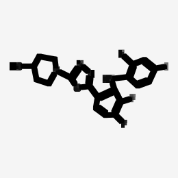 OC1CCN(c2nnc(-c3ccc(F)c(F)c3Nc3ccc(I)cc3F)o2)CC1